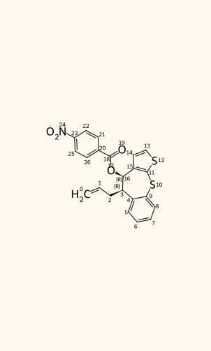 C=CC[C@@H]1c2ccccc2Sc2sccc2[C@@H]1OC(=O)c1ccc([N+](=O)[O-])cc1